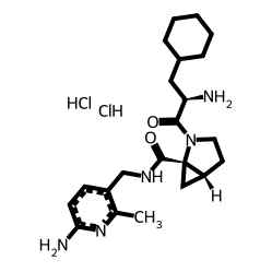 Cc1nc(N)ccc1CNC(=O)[C@]12C[C@H]1CCN2C(=O)[C@H](N)CC1CCCCC1.Cl.Cl